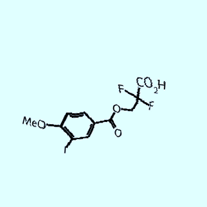 COc1ccc(C(=O)OCC(F)(F)C(=O)O)cc1I